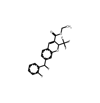 CCOC(=O)C1=Cc2ccc(C(F)c3ccccc3F)cc2OC1C(F)(F)F